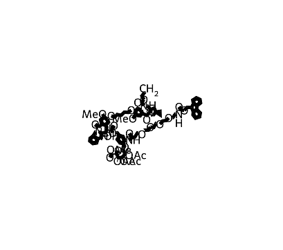 C=CCOC(=O)N1C[C@@H]2CC3(CC3)CN2C(=O)c2cc(OC)c(OCCCCCOc3cc4c(cc3OC)C(=O)N3Cc5ccccc5C[C@H]3[C@H](O)N4C(=O)OCc3ccc(O[C@@H]4O[C@H](C(=O)OC)[C@@H](OC(C)=O)[C@H](OC(C)=O)[C@H]4OC(C)=O)c(NC(=O)CCOCCOCCOCCOCCNC(=O)OCC4c5ccccc5-c5ccccc54)c3)cc21